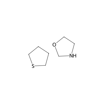 C1CCSC1.C1COCN1